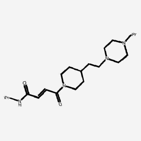 CC(C)NC(=O)/C=C/C(=O)N1CCC(CCN2CCN(C(C)C)CC2)CC1